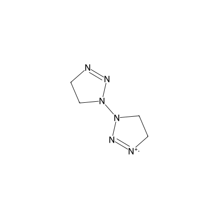 C1CN(N2CC[N+]=N2)N=N1